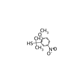 COc1ccc([N+](=O)[O-])cc1C(C)(C)S